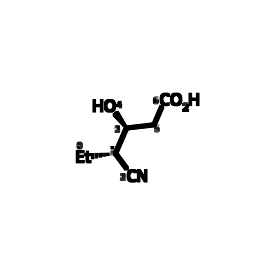 CC[C@@H](C#N)[C@@H](O)CC(=O)O